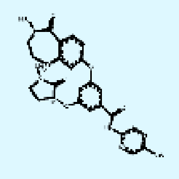 Cc1cnc(NC(=O)c2cc(Oc3ccc4c(c3)OCCN(C)C4=O)cc(O[C@H]3CCN(C)C3=O)c2)cn1